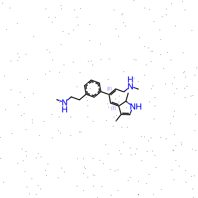 CNC/C=C(\C=C1\C(C)=CNC1C)c1cccc(CCNC)c1